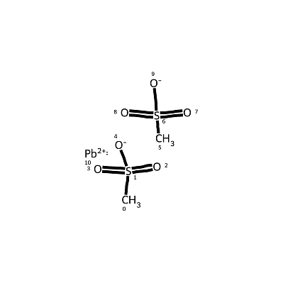 CS(=O)(=O)[O-].CS(=O)(=O)[O-].[Pb+2]